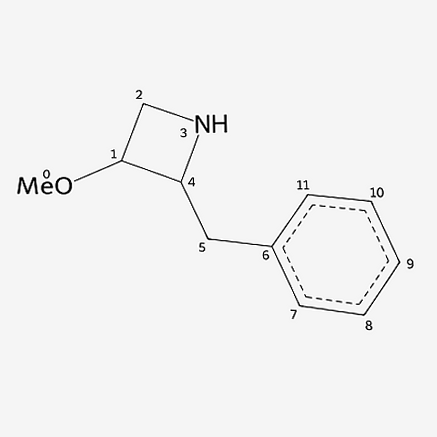 COC1CNC1Cc1ccccc1